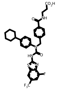 O=C(O)CCNC(=O)c1ccc(CN(C(=O)Nc2nc3c(F)cc(C(F)(F)F)cc3s2)c2ccc(C3CCCCC3)cc2)cc1